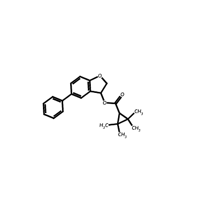 CC1(C)C(C(=O)OC2COc3ccc(-c4ccccc4)cc32)C1(C)C